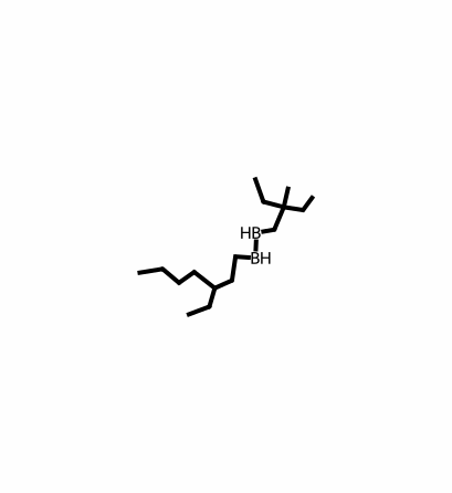 CCCCC(CC)CCBBCC(C)(CC)CC